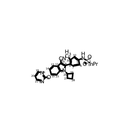 CCCS(=O)(=O)Nc1ccc(-c2c(C#N)c3ccc(Oc4ncccn4)cc3n2C2CCC2)c(C)c1